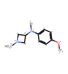 CCN(c1ccc(OC(F)(F)F)cc1)C1CN(C(=O)O)C1